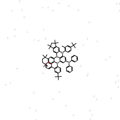 Cc1cc(C(C)(C)C)ccc1N1c2cc3c(cc2B2c4cc5c(cc4N(c4ccc(C(C)(C)C)cc4-c4ccccc4)c4cc(N(c6ccccc6)c6ccccc6)cc1c42)C(C)(C)CCC5(C)C)C(C)(C)CC3(C)C